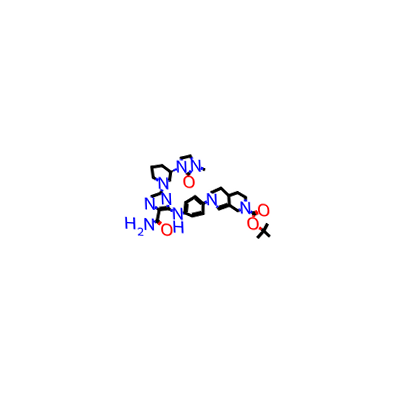 CN1CCN([C@@H]2CCCN(c3cnc(C(N)=O)c(Nc4ccc(N5C=C6CN(C(=O)OC(C)(C)C)CCC6CC5)cc4)n3)C2)C1=O